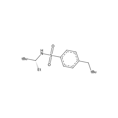 CC[C@@H](NS(=O)(=O)c1ccc(CC(C)(C)C)cc1)C(C)(C)C